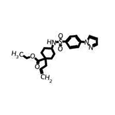 C=CCC1(C(=O)OCC)CCC(NS(=O)(=O)c2ccc(-n3cccn3)cc2)CC1